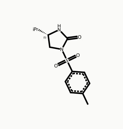 Cc1ccc(S(=O)(=O)N2C[C@H](C(C)C)NC2=O)cc1